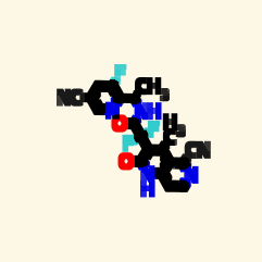 Cc1c(C(F)(F)C(=O)N[C@H](C)c2ncc(C#N)cc2F)c(=O)[nH]c2ccnc(C#N)c12